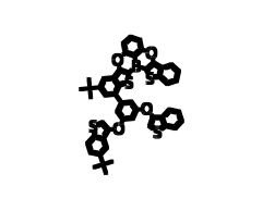 CC(C)(C)c1ccc2scc(Oc3cc(Oc4csc5ccccc45)cc(-c4cc(C(C)(C)C)cc5c6c(sc45)B4c5sc7ccccc7c5Oc5cccc(c54)O6)c3)c2c1